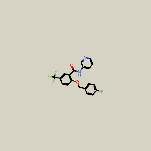 O=C(Nc1cccnc1)c1cc(C(F)(F)F)ccc1OCc1ccc(F)cc1